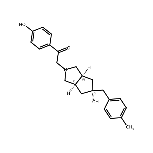 Cc1ccc(C[C@@]2(O)C[C@H]3CN(CC(=O)c4ccc(O)cc4)C[C@H]3C2)cc1